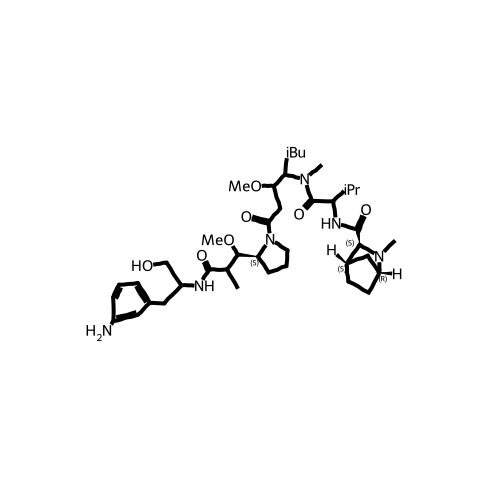 CCC(C)C(C(CC(=O)N1CCC[C@H]1C(OC)C(C)C(=O)NC(CO)Cc1cccc(N)c1)OC)N(C)C(=O)C(NC(=O)[C@@H]1[C@H]2CC[C@H](C2)N1C)C(C)C